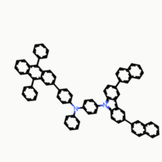 c1ccc(-c2c3ccccc3c(-c3ccccc3)c3cc(-c4ccc(N(c5ccccc5)c5ccc(-n6c7ccc(-c8ccc9ccccc9c8)cc7c7cc(-c8ccc9ccccc9c8)ccc76)cc5)cc4)ccc23)cc1